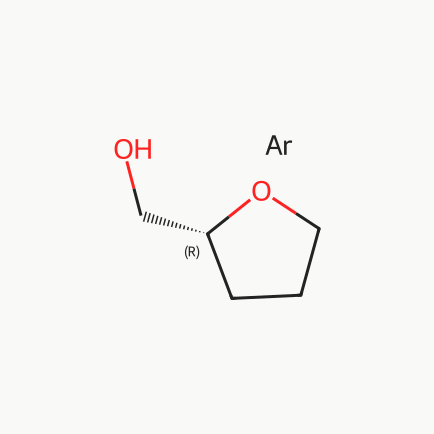 OC[C@H]1CCCO1.[Ar]